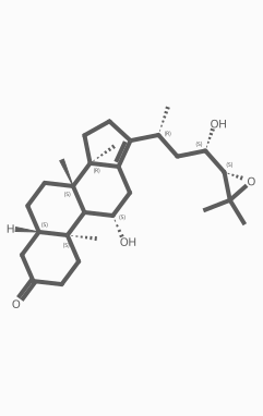 C[C@H](C[C@H](O)[C@@H]1OC1(C)C)C1=C2C[C@H](O)C3[C@](C)(CC[C@H]4CC(=O)CC[C@]34C)[C@@]2(C)CC1